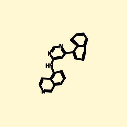 c1cc(Nc2cc(-c3cccc4ccccc34)ncn2)c2ccncc2c1